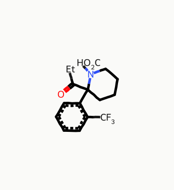 CCC(=O)C1(c2ccccc2C(F)(F)F)CCCCN1C(=O)O